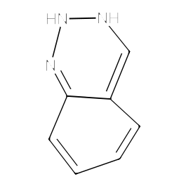 [C]1=c2ccccc2=NNN1